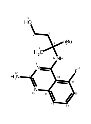 CCCCC(C)(CCO)Nc1nc(N)nc2cccc(F)c12